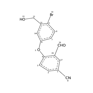 N#Cc1ccc(Oc2ccc(Br)c(CO)c2)c(C=O)c1